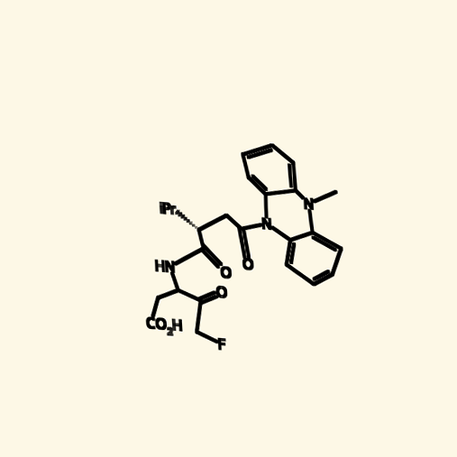 CC(C)[C@H](CC(=O)N1c2ccccc2N(C)c2ccccc21)C(=O)NC(CC(=O)O)C(=O)CF